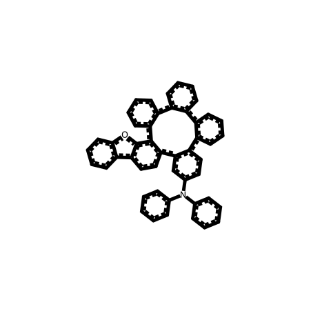 c1ccc(N(c2ccccc2)c2ccc3c4ccccc4c4ccccc4c4ccccc4c4c(ccc5c6ccccc6oc54)c3c2)cc1